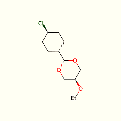 CCO[C@H]1CO[C@H]([C@H]2CC[C@H](Cl)CC2)OC1